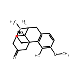 COc1ccc2c(c1O)[C@@]13CCN(C)[C@@H](C2)[C@@]1(O)CCC(=O)C3